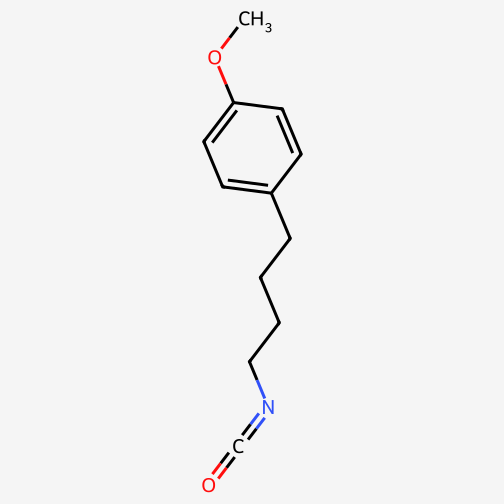 COc1ccc(CCCCN=C=O)cc1